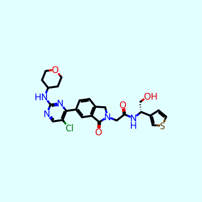 O=C(CN1Cc2ccc(-c3nc(NC4CCOCC4)ncc3Cl)cc2C1=O)N[C@H](CO)c1ccsc1